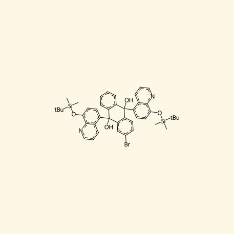 CC(C)(C)[Si](C)(C)Oc1ccc(C2(O)c3ccccc3C(O)(c3ccc(O[Si](C)(C)C(C)(C)C)c4ncccc34)c3cc(Br)ccc32)c2cccnc12